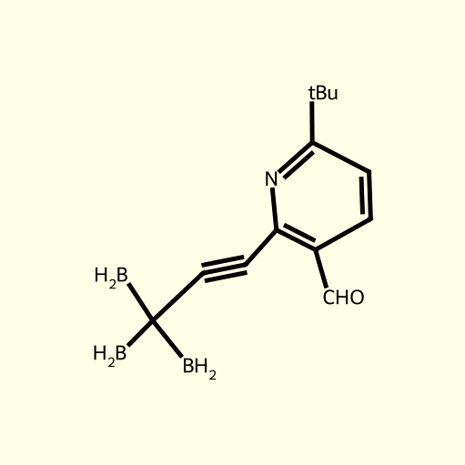 BC(B)(B)C#Cc1nc(C(C)(C)C)ccc1C=O